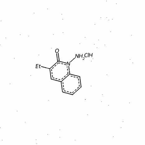 CCc1cc2ccccc2n(N)c1=O.Cl